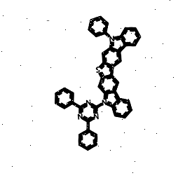 c1ccc(-c2nc(-c3ccccc3)nc(-n3c4ccccc4c4cc5c(cc43)sc3cc4c(cc35)c3ccccc3n4-c3ccccc3)n2)cc1